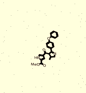 COC(=O)c1cc(C(=O)C2C(c3ccc(Oc4ccccc4)cc3)=NCC2C)c[nH]1